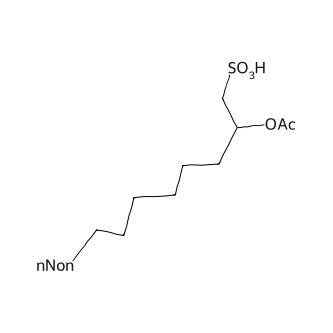 CCCCCCCCCCCCCCCC(CS(=O)(=O)O)OC(C)=O